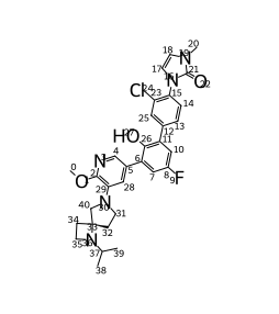 COc1ncc(-c2cc(F)cc(-c3ccc(-n4ccn(C)c4=O)c(Cl)c3)c2O)cc1N1CC[C@@]2(CCN2C(C)C)C1